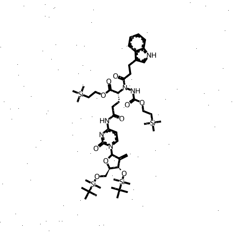 C=C1C(n2ccc(NC(=O)CC[C@H](C(=O)OCC[Si](C)(C)C)N(NC(=O)OCC[Si](C)(C)C)C(=O)CCc3c[nH]c4ccccc34)nc2=O)O[C@H](CO[Si](C)(C)C(C)(C)C)[C@H]1O[Si](C)(C)C(C)(C)C